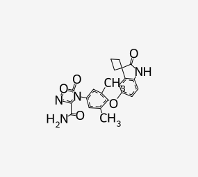 Cc1cc(-n2c(C(N)=O)noc2=O)cc(C)c1Oc1ccc2c(c1)C1(CCC1)C(=O)N2